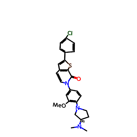 COc1cc(-n2ccc3cc(-c4ccc(Cl)cc4)sc3c2=O)ccc1N1CC[C@@H](N(C)C)C1